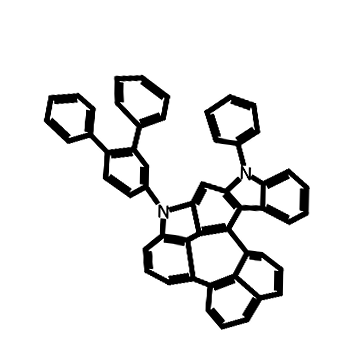 c1ccc(-c2ccc(-n3c4cccc5c4c4c(c6c7ccccc7n(-c7ccccc7)c6cc43)-c3cccc4cccc-5c34)cc2-c2ccccc2)cc1